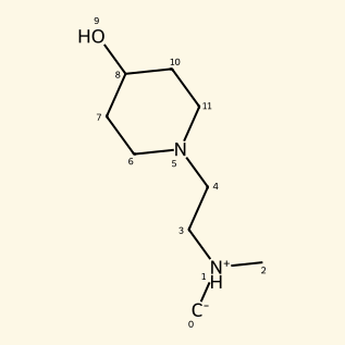 [CH2-][NH+](C)CCN1CCC(O)CC1